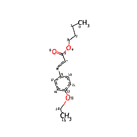 CCCCOC(=O)C=Cc1ccc(OCC)cc1